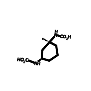 C[C@]1(NC(=O)O)CCC[C@@H](NC(=O)O)C1